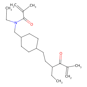 C=C(C)C(=O)C(CC)CCC1CCC(CN(CC)C(=O)C(=C)C)CC1